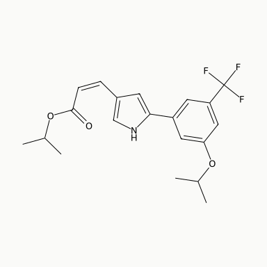 CC(C)OC(=O)/C=C\c1c[nH]c(-c2cc(OC(C)C)cc(C(F)(F)F)c2)c1